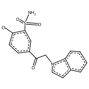 NS(=O)(=O)c1cc(C(=O)Cn2ccc3ccccc32)ccc1Cl